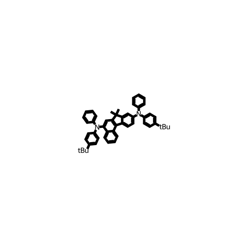 CC(C)(C)c1ccc(N(c2ccccc2)c2ccc3c(c2)C(C)(C)c2cc(N(c4ccccc4)c4ccc(C(C)(C)C)cc4)c4ccccc4c2-3)cc1